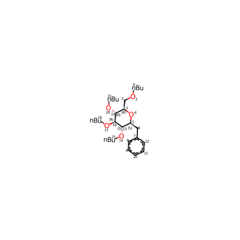 CCCCOC[C@H]1O[C@@H](Cc2ccccc2)[C@H](OCCCC)[C@@H](OCCCC)[C@@H]1OCCCC